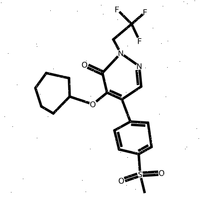 CS(=O)(=O)c1ccc(-c2cnn(CC(F)(F)F)c(=O)c2OC2CCCCC2)cc1